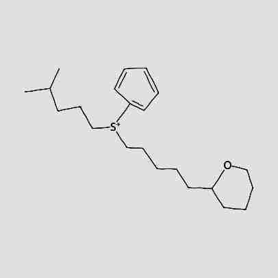 CC(C)CCC[S+](CCCCCC1CCCCO1)c1ccccc1